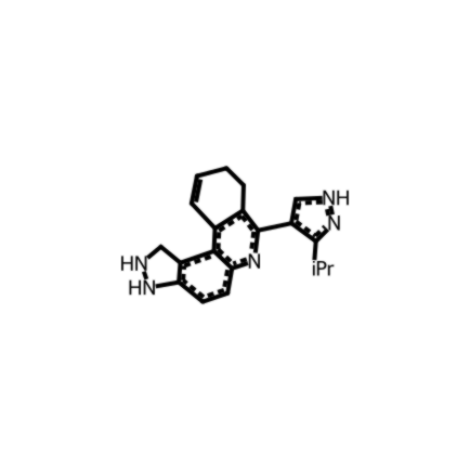 CC(C)c1n[nH]cc1-c1nc2ccc3c(c2c2c1CCC=C2)CNN3